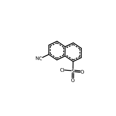 N#Cc1ccc2cccc(S(=O)(=O)Cl)c2c1